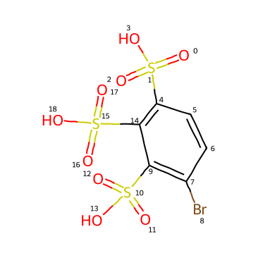 O=S(=O)(O)c1ccc(Br)c(S(=O)(=O)O)c1S(=O)(=O)O